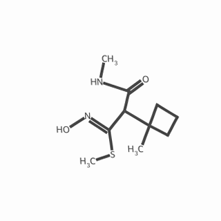 CNC(=O)C(C(=NO)SC)C1(C)CCC1